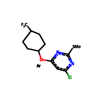 CSc1nc(Cl)cc(OC2CCC(C(F)(F)F)CC2)n1.[Ar]